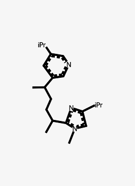 CC(C)c1cncc(C(C)CCC(C)c2nc(C(C)C)cn2C)c1